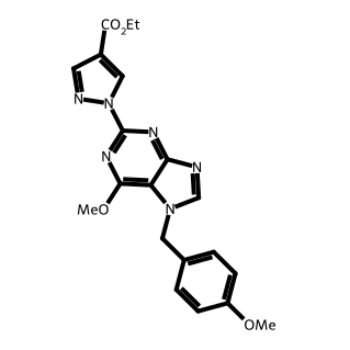 CCOC(=O)c1cnn(-c2nc(OC)c3c(ncn3Cc3ccc(OC)cc3)n2)c1